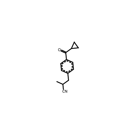 CC(C#N)Cc1ccc(C(=O)C2CC2)cc1